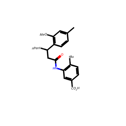 CCCCCC(CC(=O)Nc1cc(C(=O)O)ccc1C(C)(C)C)c1ccc(C)cc1OC